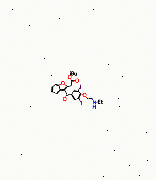 CCNCCOc1c(I)cc(C(=O)c2c(CC(=O)OC(C)CC)oc3ccccc23)cc1I